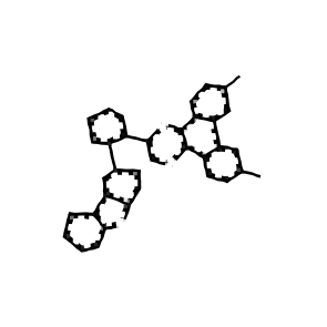 Cc1ccc2c(c1)c1cc(C)ccc1c1nc(-c3ccccc3-c3ccc4oc5ccccc5c4c3)cnc21